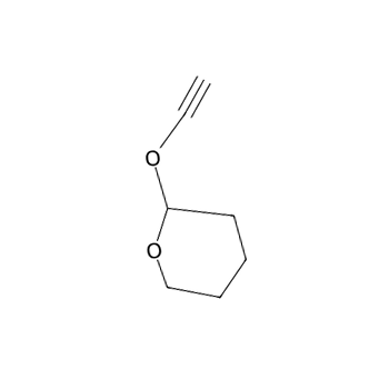 C#COC1CCCCO1